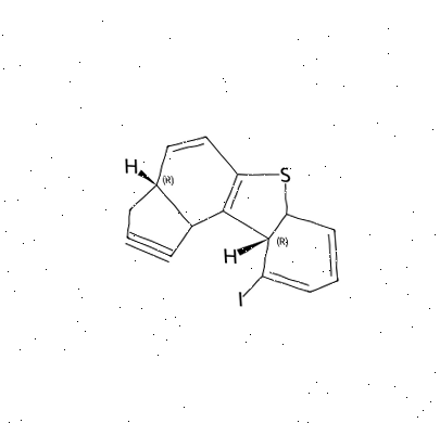 IC1=CC=CC2SC3=C(C4C#CC[C@@H]4C=C3)[C@@H]12